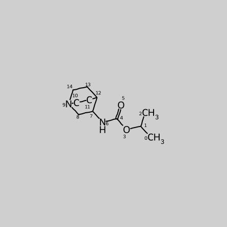 CC(C)OC(=O)NC1CN2CCC1CC2